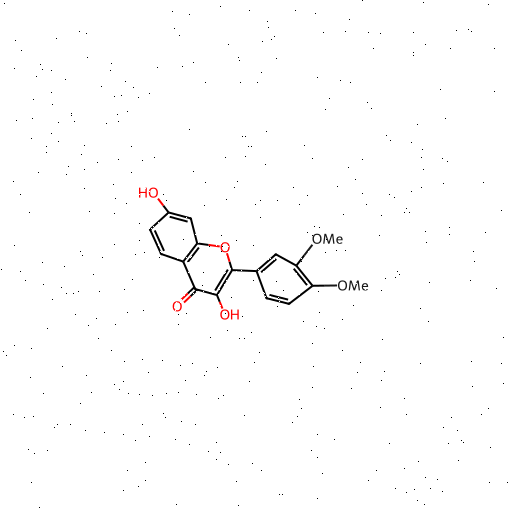 COc1ccc(-c2oc3cc(O)ccc3c(=O)c2O)cc1OC